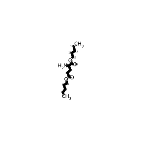 CCCCCOC(=O)CCC(N)C(=O)OCCCCC